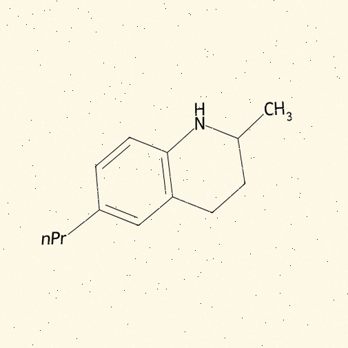 CCCc1ccc2c(c1)CCC(C)N2